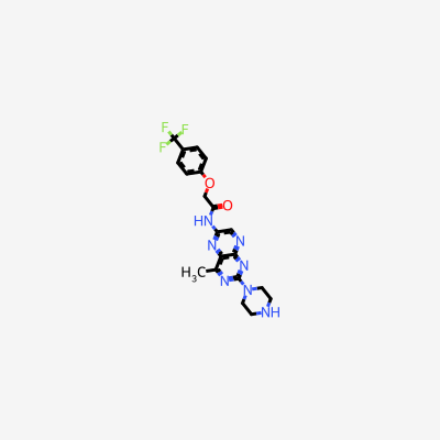 Cc1nc(N2CCNCC2)nc2ncc(NC(=O)COc3ccc(C(F)(F)F)cc3)nc12